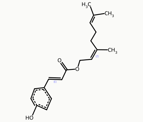 CC(C)=CCC/C(C)=C\COC(=O)/C=C/c1ccc(O)cc1